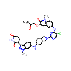 CNC(=O)COc1cc2cc(Nc3nc(N4CC5CCC(Nc6ccc7c(C8CCC(=O)NC8=O)nn(C)c7c6)CC5C4)ncc3Cl)ccc2n(C)c1=O